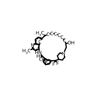 Cc1cc2c3cc(ccc3n1)C(C)CCCCCCC(O)CN1CCC(CC1)C(F)(F)c1cccc(c1F)[C@@H](C)N2